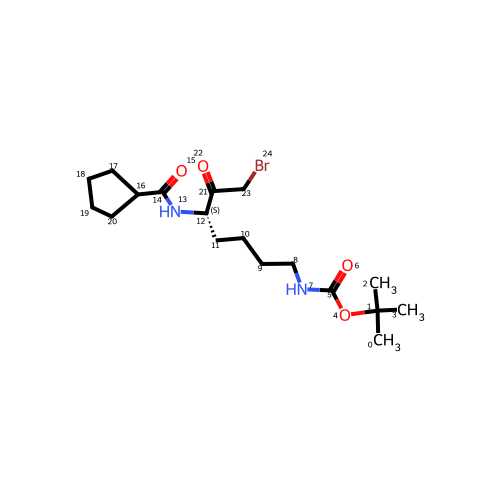 CC(C)(C)OC(=O)NCCCC[C@H](NC(=O)C1CCCC1)C(=O)CBr